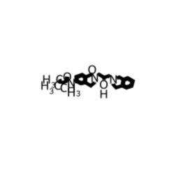 CC(C)(C)C(=O)Nc1ccc2c(c1)CCN(CC(O)CN1CCc3ccccc3C1)C2=O